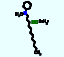 CCCCCCCCCCCCN(C)C1CCCCC1.Cl.[SnH2]